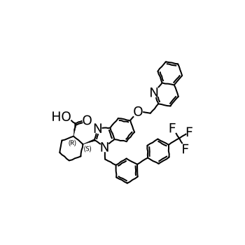 O=C(O)[C@@H]1CCCC[C@@H]1c1nc2cc(OCc3ccc4ccccc4n3)ccc2n1Cc1cccc(-c2ccc(C(F)(F)F)cc2)c1